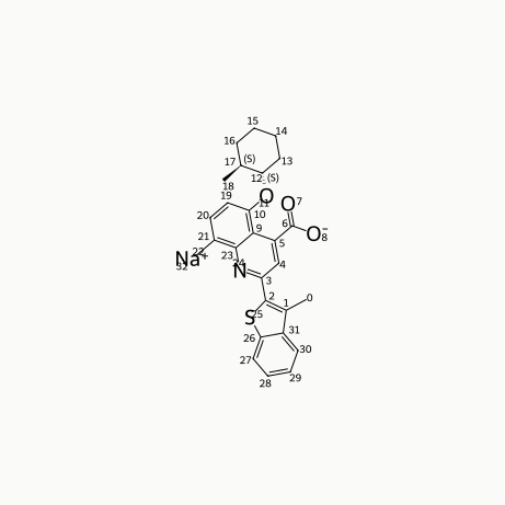 Cc1c(-c2cc(C(=O)[O-])c3c(O[C@H]4CCCC[C@@H]4C)ccc(C)c3n2)sc2ccccc12.[Na+]